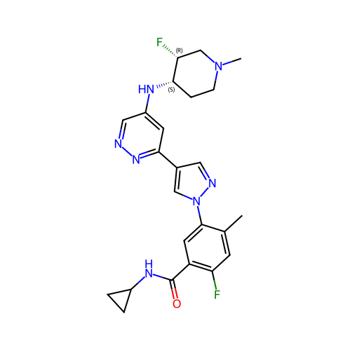 Cc1cc(F)c(C(=O)NC2CC2)cc1-n1cc(-c2cc(N[C@H]3CCN(C)C[C@H]3F)cnn2)cn1